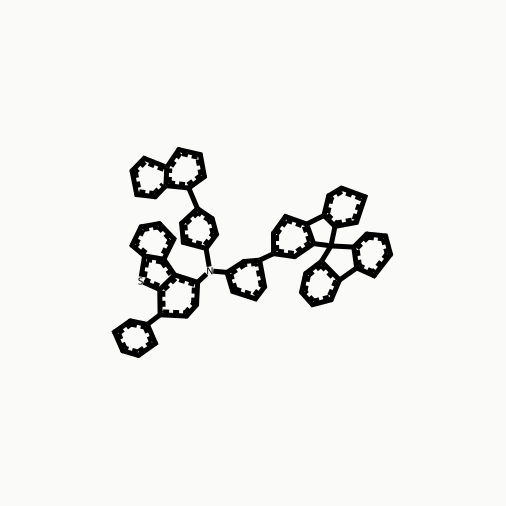 c1ccc(-c2ccc(N(c3ccc(-c4cccc5ccccc45)cc3)c3cccc(-c4ccc5c(c4)C4(c6ccccc6-c6ccccc64)c4ccccc4-5)c3)c3c2sc2ccccc23)cc1